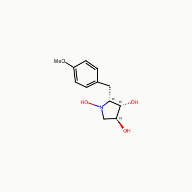 COc1ccc(C[C@@H]2[C@H](O)[C@@H](O)CN2O)cc1